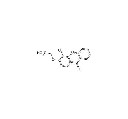 O=C(O)COc1ccc2c(=O)c3ccccc3oc2c1Cl